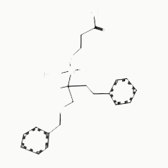 CC(=O)CCO[Si](C)(C)C(C)(CCc1ccccc1)COCc1ccccc1